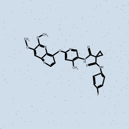 COc1cc2nccc(Oc3cc(C)c(NC(=O)C4(C(=O)Nc5ccc(F)cc5)CC4)cn3)c2nc1OC